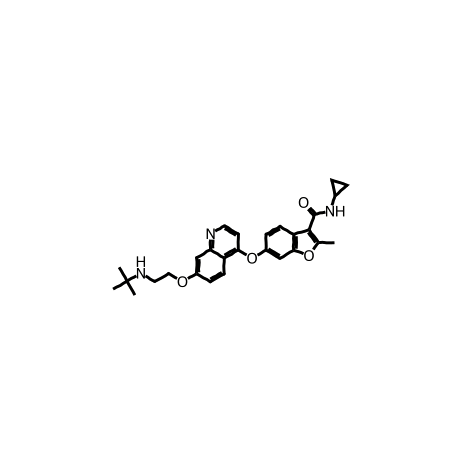 Cc1oc2cc(Oc3ccnc4cc(OCCNC(C)(C)C)ccc34)ccc2c1C(=O)NC1CC1